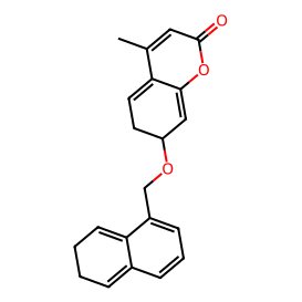 Cc1cc(=O)oc2c1=CCC(OCc1cccc3c1=CCCC=3)C=2